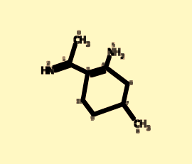 CC(=N)C1=C(N)CC(C)CC1